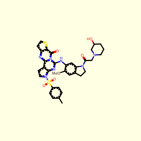 COc1cc2c(cc1Nc1nc3c(ccn3S(=O)(=O)c3ccc(C)cc3)c3nc4ccsc4c(=O)n13)N(C(=O)CN1CCCC(O)C1)CC2